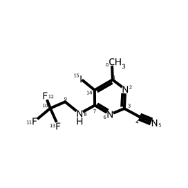 Cc1nc(C#N)nc(NCC(F)(F)F)c1I